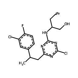 CC(C)CC(CO)Nc1nc(Cl)nc(CC(C)c2ccc(F)c(Cl)c2)n1